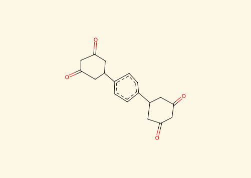 O=C1CC(=O)CC(c2ccc(C3CC(=O)CC(=O)C3)cc2)C1